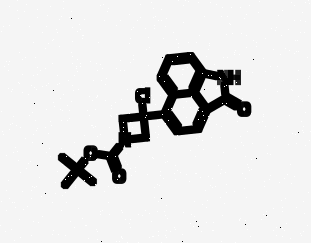 CC(C)(C)OC(=O)N1CC(Cl)(c2ccc3c4c(cccc24)NC3=O)C1